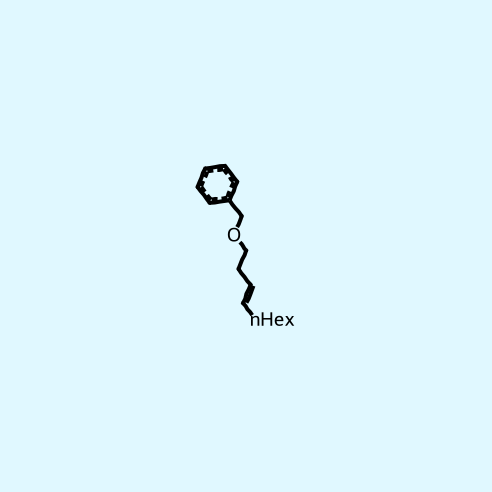 CCCCCCC=CCCOCc1ccccc1